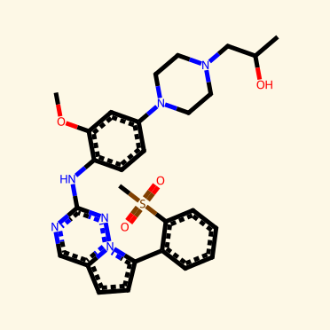 COc1cc(N2CCN(CC(C)O)CC2)ccc1Nc1ncc2ccc(-c3ccccc3S(C)(=O)=O)n2n1